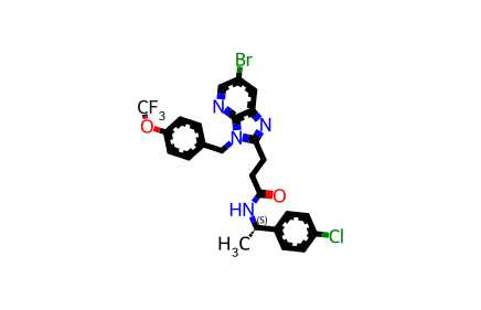 C[C@H](NC(=O)CCc1nc2cc(Br)cnc2n1Cc1ccc(OC(F)(F)F)cc1)c1ccc(Cl)cc1